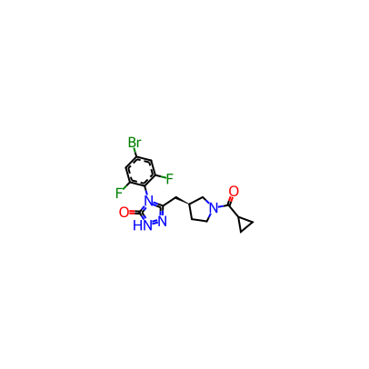 O=C(C1CC1)N1CC[C@@H](Cc2n[nH]c(=O)n2-c2c(F)cc(Br)cc2F)C1